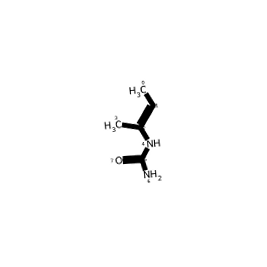 C/C=C(\C)NC(N)=O